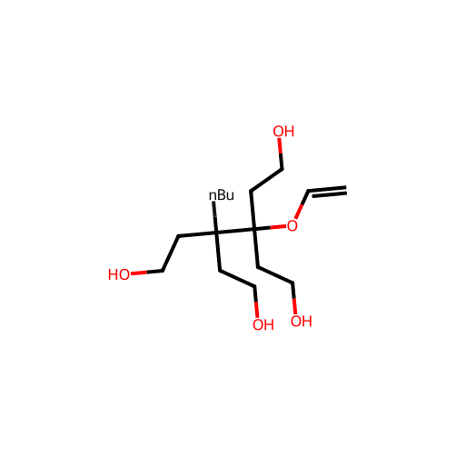 C=COC(CCO)(CCO)C(CCO)(CCO)CCCC